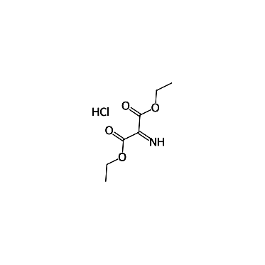 CCOC(=O)C(=N)C(=O)OCC.Cl